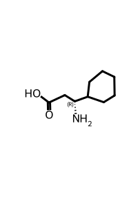 N[C@H](CC(=O)O)C1CCCCC1